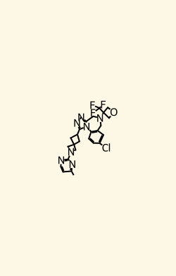 Cc1ccnc(N2CC3(CC(c4nnc5n4-c4ccc(Cl)cc4CN(C4(C(F)(F)F)COC4)C5)C3)C2)n1